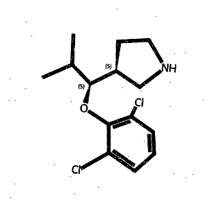 CC(C)[C@H](Oc1c(Cl)cccc1Cl)[C@H]1CCNC1